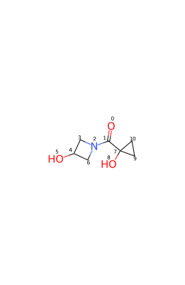 O=C(N1CC(O)C1)C1(O)CC1